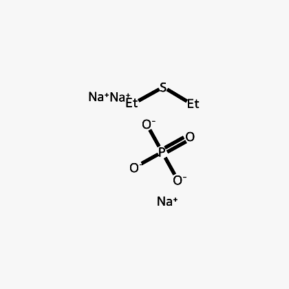 CCSCC.O=P([O-])([O-])[O-].[Na+].[Na+].[Na+]